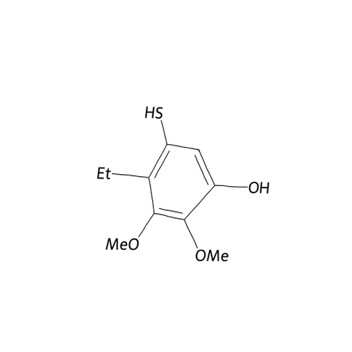 CCc1c(S)cc(O)c(OC)c1OC